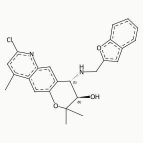 Cc1cc(Cl)nc2cc3c(cc12)OC(C)(C)[C@H](O)[C@H]3NCc1cc2ccccc2o1